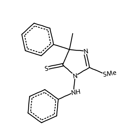 CSC1=NC(C)(c2ccccc2)C(=S)N1Nc1ccccc1